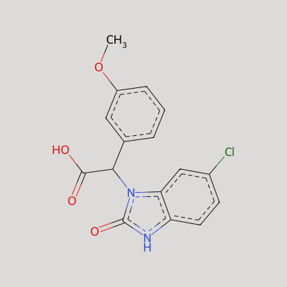 COc1cccc(C(C(=O)O)n2c(=O)[nH]c3ccc(Cl)cc32)c1